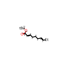 CCC=CCCCC=CC(=O)OC(C)(C)C